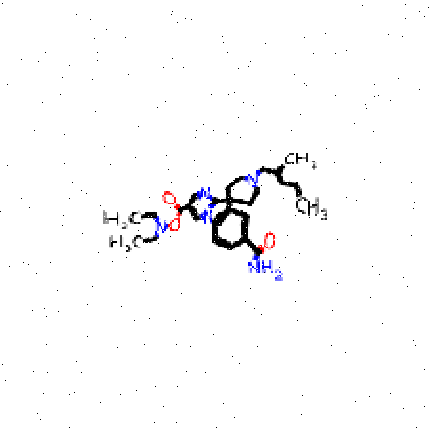 CCCC(C)CN1CCC(c2cccc(C(N)=O)c2)(c2ncc(C(=O)ON(CC)CC)cn2)CC1